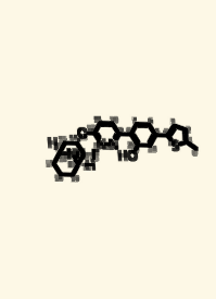 Cc1ccc(-c2ccc(-c3ccc(O[C@H]4C[C@@H]5CCC[C@@H](N5)[C@H]4F)nn3)c(O)c2)s1